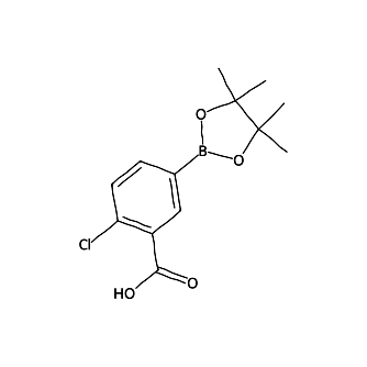 CC1(C)OB(c2ccc(Cl)c(C(=O)O)c2)OC1(C)C